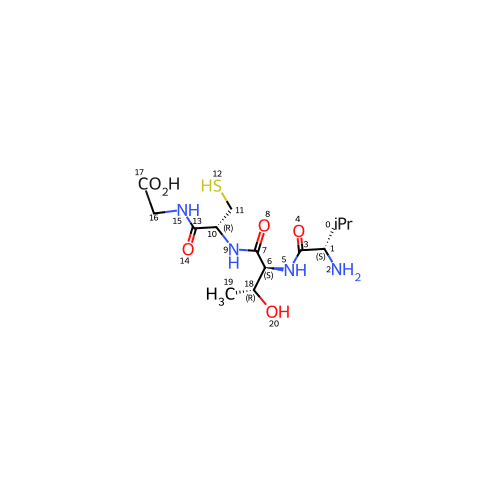 CC(C)[C@H](N)C(=O)N[C@H](C(=O)N[C@@H](CS)C(=O)NCC(=O)O)[C@@H](C)O